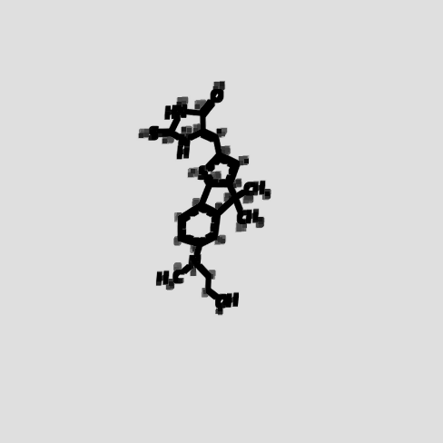 CN(CCO)c1ccc2c(c1)C(C)(C)c1cc(/C=C3\NC(=S)NC3=O)sc1-2